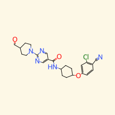 N#Cc1ccc(OC2CCC(NC(=O)c3cnc(N4CCC(C=O)CC4)nc3)CC2)cc1Cl